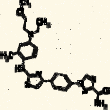 CCN(CCOC)c1ccc(Nc2nc(-c3ccc(-n4cnc(C(N)=O)n4)cc3)cs2)c(C)c1